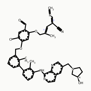 C=N/C=C(C#N)\C=C(/C)COc1cc(OCc2cccc(-c3cccc(Nc4nccc5cc(CN6CC[C@@H](O)C6)cnc45)c3C)c2C)c(Cl)cc1C=O